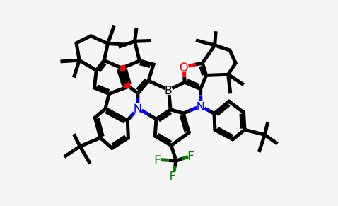 CC(C)(C)c1ccc(N2c3cc(C(F)(F)F)cc4c3B(c3cc(C(C)(C)C)ccc3N4c3ccc(C(C)(C)C)cc3-c3ccc4c(c3)C(C)(C)CCC4(C)C)c3oc4c(c32)C(C)(C)CCC4(C)C)cc1